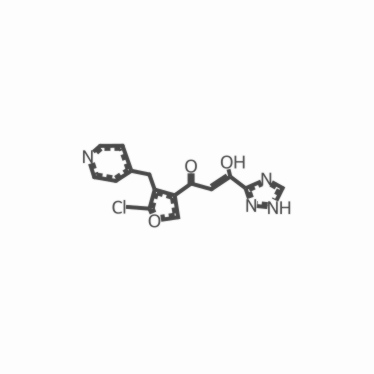 O=C(C=C(O)c1nc[nH]n1)c1coc(Cl)c1Cc1ccncc1